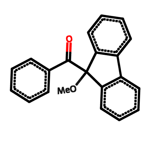 COC1(C(=O)c2ccccc2)c2ccccc2-c2ccccc21